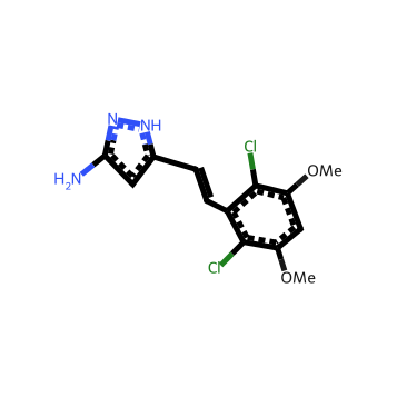 COc1cc(OC)c(Cl)c(C=Cc2cc(N)n[nH]2)c1Cl